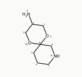 NC1COC2(CCCNC2)OC1